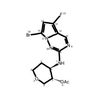 CC(=O)O[C@@H]1COCC[C@H]1Nc1ncc2c(F)cc(Br)n2n1